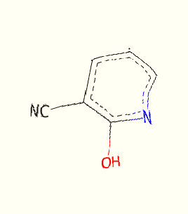 N#Cc1c[c]cnc1O